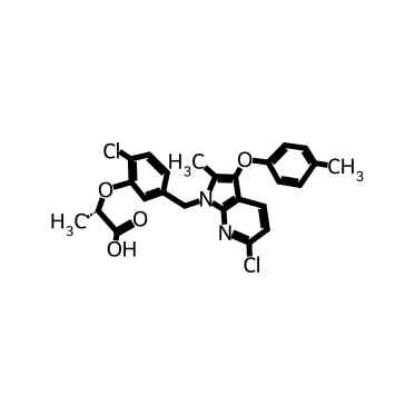 Cc1ccc(Oc2c(C)n(Cc3ccc(Cl)c(O[C@@H](C)C(=O)O)c3)c3nc(Cl)ccc23)cc1